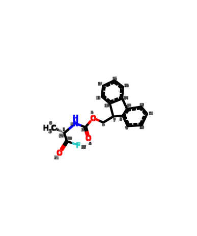 C[C@H](NC(=O)OCC1c2ccccc2-c2ccccc21)C(=O)F